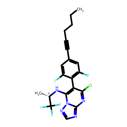 CCCCC#Cc1cc(F)c(-c2c(Cl)nc3ncnn3c2N[C@@H](C)C(F)(F)F)c(F)c1